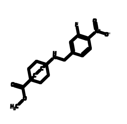 COC(=O)C12CCC(NCc3ccc([N+](=O)[O-])c(F)c3)(CC1)CC2